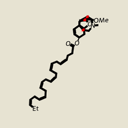 CC/C=C\C/C=C\C/C=C\C/C=C\C/C=C\C/C=C\CCC(=O)O[C@H]1C=CC23CCN(C)Cc4ccc(OC)c(c42)OC3C1